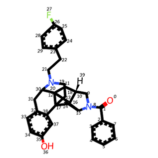 O=C(c1ccccc1)N1C[C@H]2CC34CCC1C2C31CCN(CCc2ccc(F)cc2)C4Cc2ccc(O)cc21